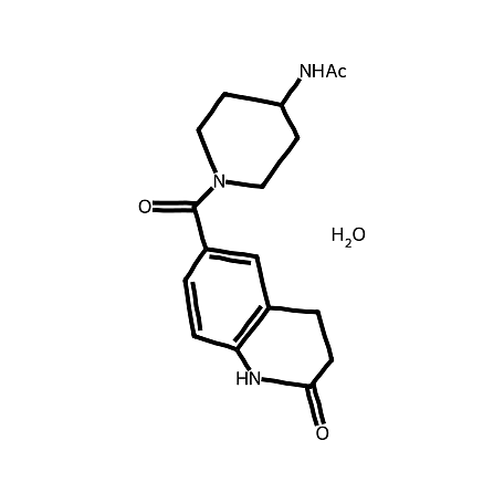 CC(=O)NC1CCN(C(=O)c2ccc3c(c2)CCC(=O)N3)CC1.O